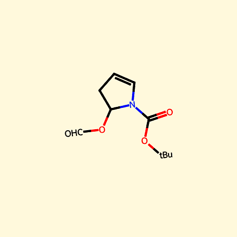 CC(C)(C)OC(=O)N1C=CCC1OC=O